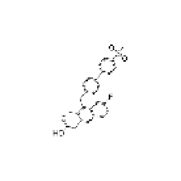 Cc1c(CC(=O)O)cc2ccc(F)cc2c1Cc1ccc(-c2ccc(S(C)(=O)=O)cc2)cc1